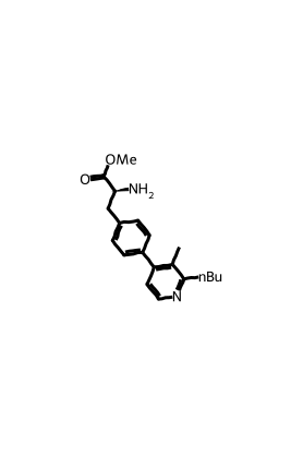 CCCCc1nccc(-c2ccc(C[C@H](N)C(=O)OC)cc2)c1C